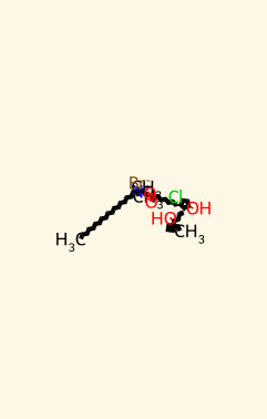 CCCCCCCCCCCCCCCCCC[N+](C)(C)CCOC(=O)CCCC=CC[C@@H]1[C@@H](C=CC[C@H](O)C2(CC)CCC2)[C@H](O)C[C@H]1Cl.[Br-]